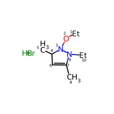 Br.CCON1C(C)C=C(C)N1CC